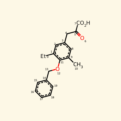 CCc1cc(CC(=O)C(=O)O)cc(C)c1OCc1ccccc1